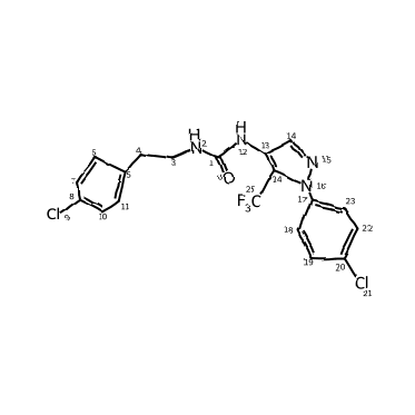 O=C(NCCc1ccc(Cl)cc1)Nc1cnn(-c2ccc(Cl)cc2)c1C(F)(F)F